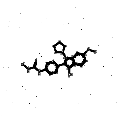 CCNC(=O)Nc1ccc(-c2c(C#N)c3ccc(OCC)cc3n2C2CCCC2)cc1